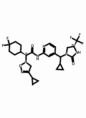 O=C(Nc1cc(C(C2CC2)N2C[C@@H](C(F)(F)F)NC2=O)ccn1)[C@H](C1CCC(F)(F)CC1)N1CC(C2CC2)=NO1